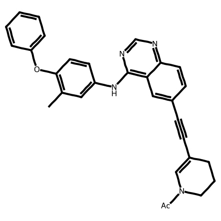 CC(=O)N1C=C(C#Cc2ccc3ncnc(Nc4ccc(Oc5ccccc5)c(C)c4)c3c2)CCC1